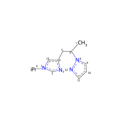 CC(C)n1cnc(CC(C)n2cccn2)c1